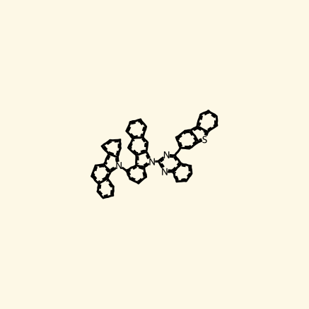 c1ccc2cc3c(cc2c1)c1c(-n2c4ccccc4c4ccc5ccccc5c42)cccc1n3-c1nc(-c2ccc3c(c2)sc2ccccc23)c2ccccc2n1